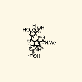 CNC(=O)c1c(I)c(NC(=O)C(C)O)c(I)c(C(=O)N(CCO)CC(O)CO)c1I